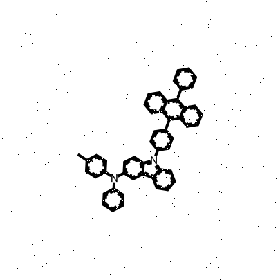 Cc1ccc(N(c2ccccc2)c2ccc3c(c2)c2ccccc2n3-c2ccc(-c3c4ccccc4c(-c4ccccc4)c4ccccc34)cc2)cc1